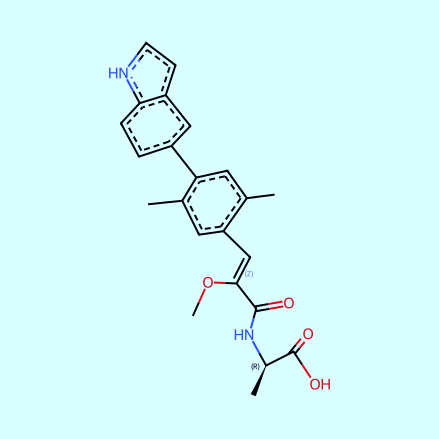 CO/C(=C\c1cc(C)c(-c2ccc3[nH]ccc3c2)cc1C)C(=O)N[C@H](C)C(=O)O